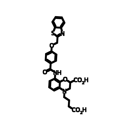 O=C(O)CCCN1CC(C(=O)O)Oc2c(NC(=O)c3ccc(OCc4nc5ccccc5s4)cc3)cccc21